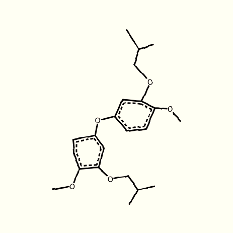 COc1ccc(Oc2ccc(OC)c(OCC(C)C)c2)cc1OCC(C)C